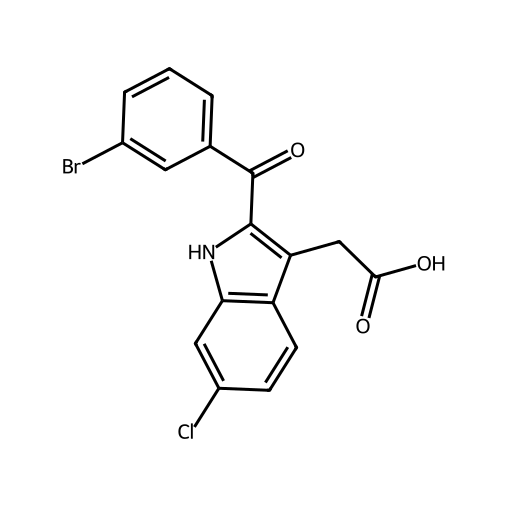 O=C(O)Cc1c(C(=O)c2cccc(Br)c2)[nH]c2cc(Cl)ccc12